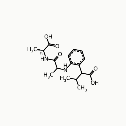 CC(Nc1ccccc1C(C(=O)O)C(C)C)C(=O)N[C@@H](C)C(=O)O